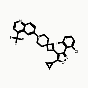 Fc1cccc(Cl)c1-c1noc(C2CC2)c1C1=CC2(CCN(c3ccc4nccc(C(F)(F)F)c4c3)CC2)C1